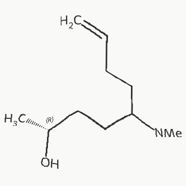 C=CCCC(CC[C@@H](C)O)NC